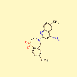 COc1ccc2c(c1)CN(c1cc(N)c3cc(C)ccc3n1)CCS2(=O)=O